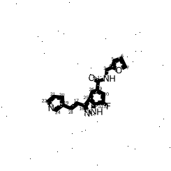 O=C(NCc1ccco1)c1cc(F)c2[nH]nc(/C=C/c3cccnc3)c2c1